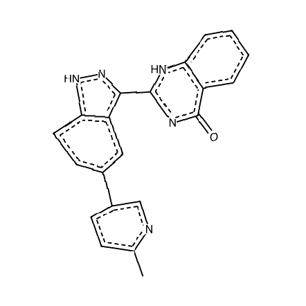 Cc1ccc(-c2ccc3[nH]nc(-c4nc(=O)c5ccccc5[nH]4)c3c2)cn1